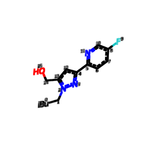 CCC(C)Cn1nc(-c2ccc(F)cn2)cc1CO